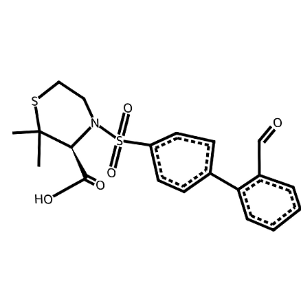 CC1(C)SCCN(S(=O)(=O)c2ccc(-c3ccccc3C=O)cc2)[C@H]1C(=O)O